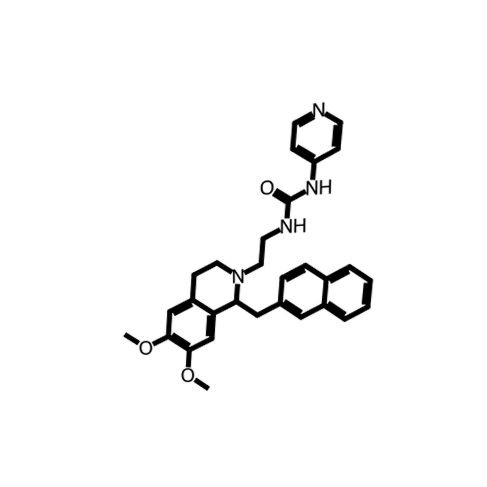 COc1cc2c(cc1OC)C(Cc1ccc3ccccc3c1)N(CCNC(=O)Nc1ccncc1)CC2